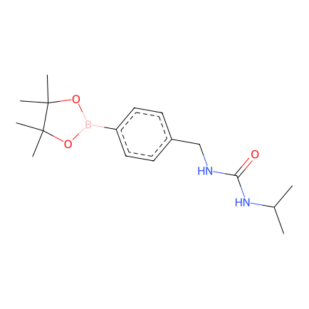 CC(C)NC(=O)NCc1ccc(B2OC(C)(C)C(C)(C)O2)cc1